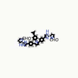 O=CN1CCC[C@H]1c1nc(-c2ccc(-c3ccc(-c4ccc(-c5c[nH]c([C@@H]6CCCN6C=O)n5)cc4)n3-c3ccc(C4CC4)cc3)cc2)c[nH]1